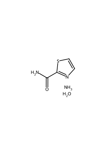 N.NC(=O)c1nccs1.O